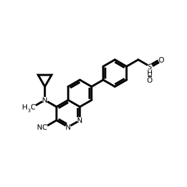 CN(c1c(C#N)nnc2cc(-c3ccc(C[SH](=O)=O)cc3)ccc12)C1CC1